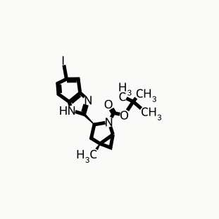 CC(C)(C)OC(=O)N1C2C[C@]2(C)C[C@H]1c1nc2cc(I)ccc2[nH]1